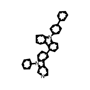 c1ccc(-c2ccc(-n3c4ccccc4c4c(-c5ccc6c(c5)c5ccncc5n6-c5ccccc5)cccc43)cc2)cc1